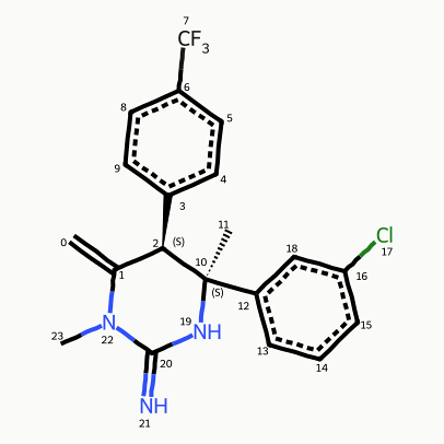 C=C1[C@@H](c2ccc(C(F)(F)F)cc2)[C@@](C)(c2cccc(Cl)c2)NC(=N)N1C